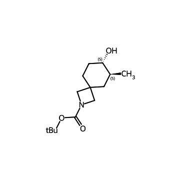 C[C@H]1CC2(CC[C@@H]1O)CN(C(=O)OC(C)(C)C)C2